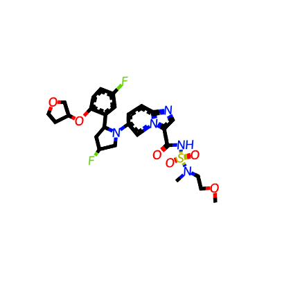 COCCN(C)S(=O)(=O)NC(=O)c1cnc2ccc(N3CC(F)CC3c3cc(F)ccc3OC3CCOC3)cn12